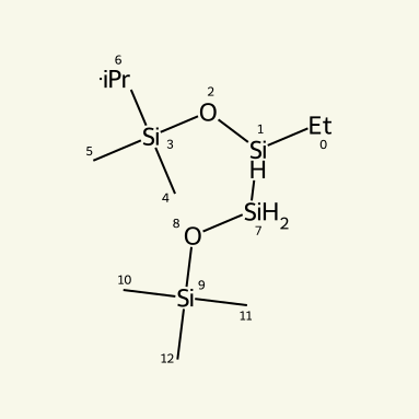 CC[SiH](O[Si](C)(C)[C](C)C)[SiH2]O[Si](C)(C)C